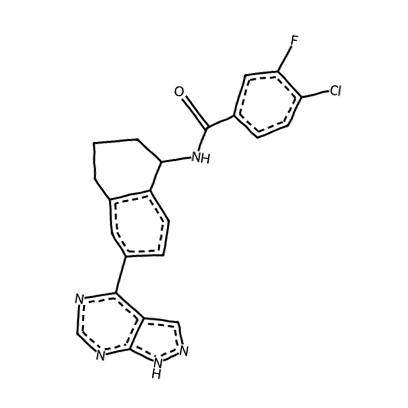 O=C(NC1CCCc2cc(-c3ncnc4[nH]ncc34)ccc21)c1ccc(Cl)c(F)c1